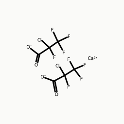 O=C([O-])C(F)(Cl)C(F)(F)F.O=C([O-])C(F)(Cl)C(F)(F)F.[Ca+2]